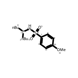 CCCCP(CCCC)NS(=O)(=O)c1ccc(OC)cc1